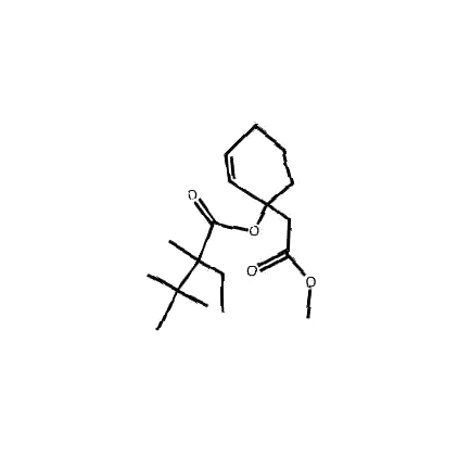 CCC(C)(C(=O)OC1(CC(=O)OC)C=CCCC1)C(C)(C)C